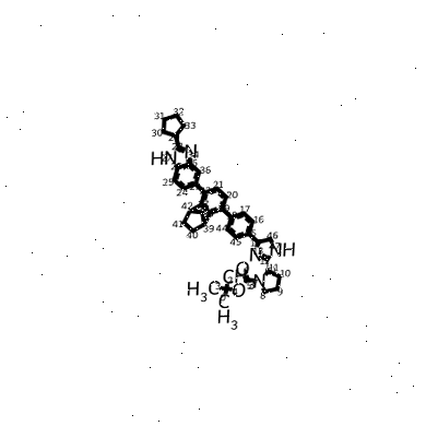 CC(C)(C)OC(=O)N1CCC[C@H]1C1=NC(c2ccc(-c3ccc(-c4ccc5[nH]c(C6CCCC6)nc5c4)c4c3C3CCC4C3)cc2)CN1